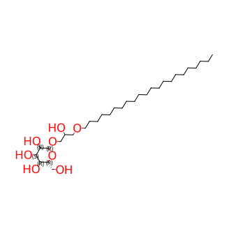 CCCCCCCCCCCCCCCCCCCCCCOCC(O)CO[C@@H]1O[C@H](CO)[C@H](O)[C@H](O)[C@H]1O